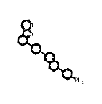 Pc1ccc(-c2ccc3cc(-c4ccc(-c5cccc6c5oc5ncccc56)cc4)ccc3c2)cc1